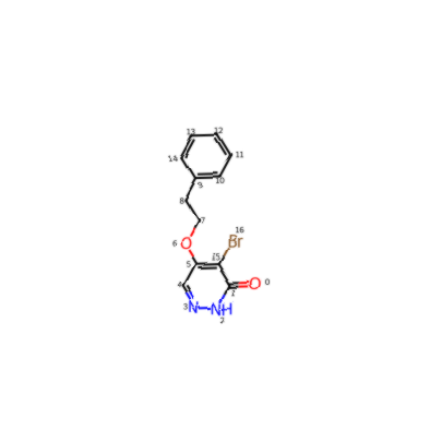 O=c1[nH]ncc(OCCc2ccccc2)c1Br